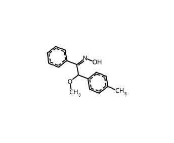 COC(C(=NO)c1ccccc1)c1ccc(C)cc1